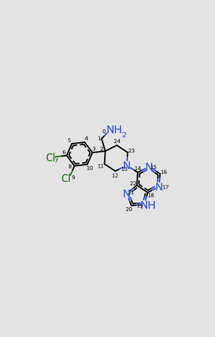 NCC1(c2ccc(Cl)c(Cl)c2)CCN(c2ncnc3[nH]cnc23)CC1